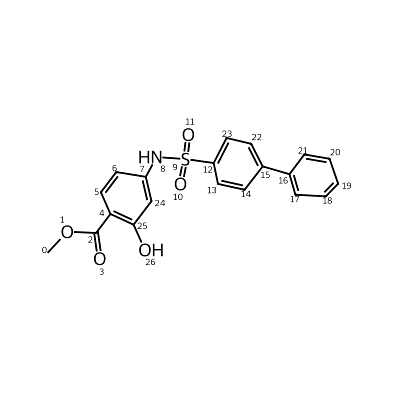 COC(=O)c1ccc(NS(=O)(=O)c2ccc(-c3ccccc3)cc2)cc1O